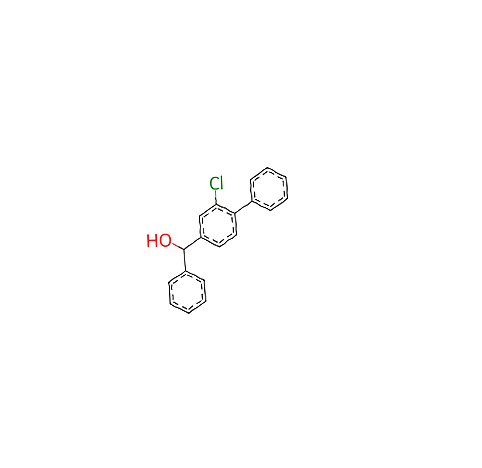 OC(c1ccccc1)c1ccc(-c2ccccc2)c(Cl)c1